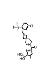 Cc1cn(C(=O)N2CCC3(CC2)CN(Cc2cc(Cl)ccc2C(F)(F)F)C3)nc1C(O)O